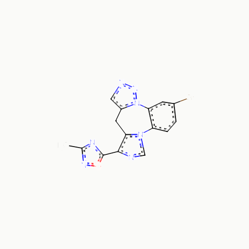 Cc1noc(-c2ncn3c2Cc2cnnn2-c2cc(Br)ccc2-3)n1